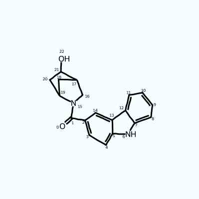 O=C(c1ccc2[nH]c3ccccc3c2c1)N1CC2CC1CC2O